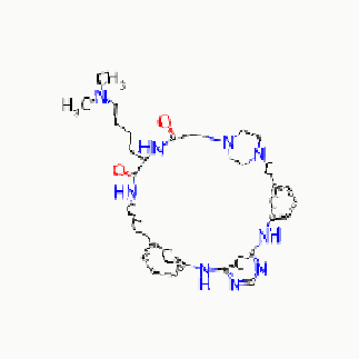 CN(C)CCCCC1NC(=O)CN2CCN(CC2)Cc2cccc(c2)Nc2cc(ncn2)Nc2cccc(c2)CCNC1=O